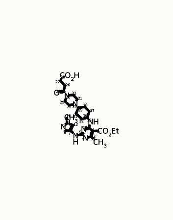 CCOC(=O)c1c(C)nc(Nc2cnn(C)c2)nc1NC1CCC(N2CCN(C(=O)CCC(=O)O)CC2)CC1